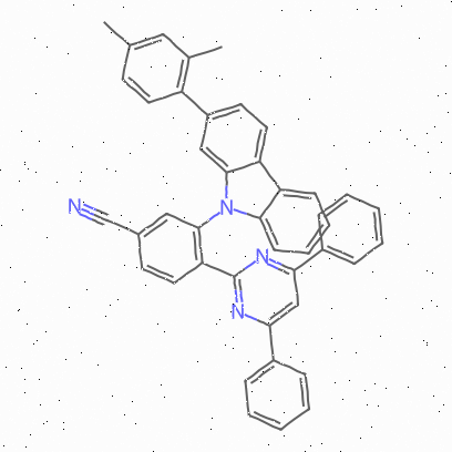 Cc1ccc(-c2ccc3c4ccccc4n(-c4cc(C#N)ccc4-c4nc(-c5ccccc5)cc(-c5ccccc5)n4)c3c2)c(C)c1